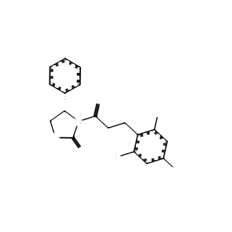 C[C@@H](CC(=O)N1C(=O)OC[C@@H]1c1ccccc1)c1c(F)cc(Br)cc1F